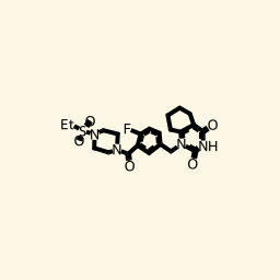 CCS(=O)(=O)N1CCN(C(=O)c2cc(Cn3c4c(c(=O)[nH]c3=O)CCCC4)ccc2F)CC1